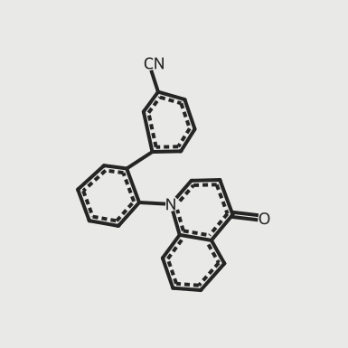 N#Cc1cccc(-c2ccccc2-n2ccc(=O)c3ccccc32)c1